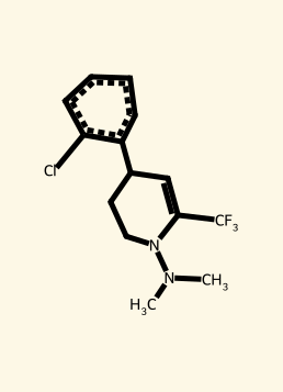 CN(C)N1CCC(c2ccccc2Cl)C=C1C(F)(F)F